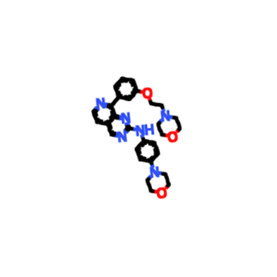 c1cc(OCCN2CCOCC2)cc(-c2nccc3cnc(Nc4ccc(N5CCOCC5)cc4)nc23)c1